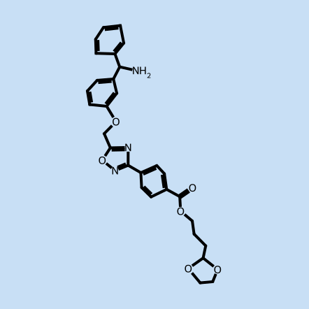 NC(c1ccccc1)c1cccc(OCc2nc(-c3ccc(C(=O)OCCCC4OCCO4)cc3)no2)c1